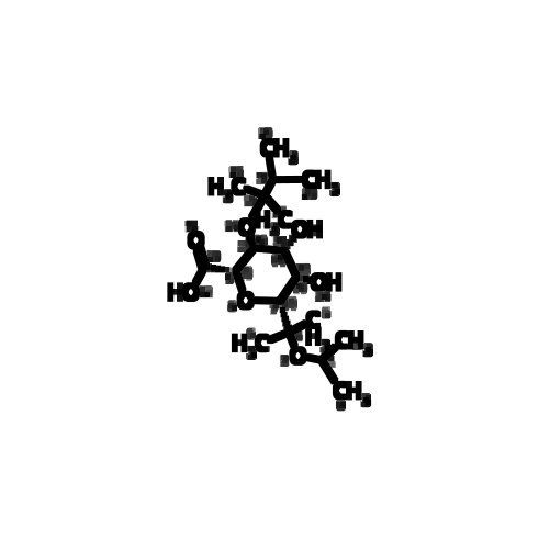 CC(C)OC(C)(C)[C@@H]1O[C@H](C(=O)O)[C@@H](OC(C)(C)C(C)C)[C@H](O)[C@@H]1O